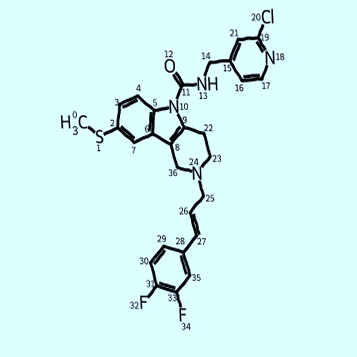 CSc1ccc2c(c1)c1c(n2C(=O)NCc2ccnc(Cl)c2)CCN(CC=Cc2ccc(F)c(F)c2)C1